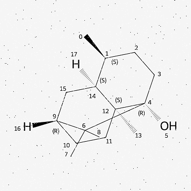 C[C@H]1CC[C@@]2(O)C(C)(C)[C@@H]3CC[C@@]2(C)[C@H]1C3